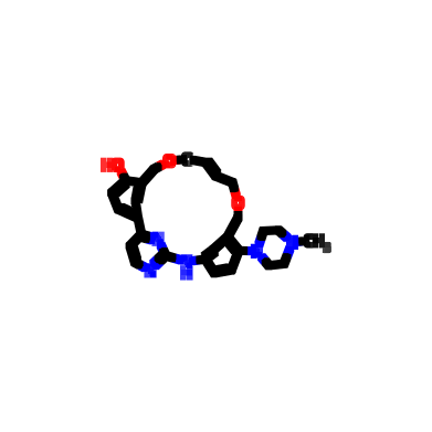 CN1CCN(c2ccc3cc2COC/C=C/COCc2cc(ccc2O)-c2ccnc(n2)N3)CC1